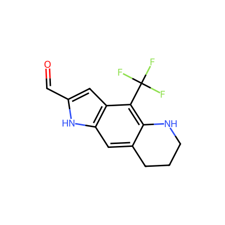 O=Cc1cc2c(C(F)(F)F)c3c(cc2[nH]1)CCCN3